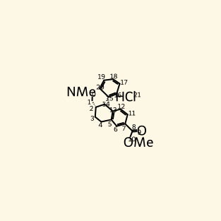 CNC[C@H]1CCc2cc(C(=O)OC)ccc2[C@H]1c1ccccc1.Cl